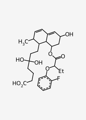 CCC(Oc1ccccc1F)C(=O)OC1CC(O)C=C2C=CC(C)C(CCC(O)(O)CCCC(=O)O)C21